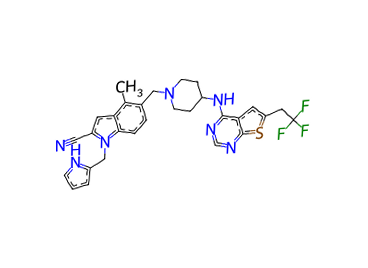 Cc1c(CN2CCC(Nc3ncnc4sc(CC(F)(F)F)cc34)CC2)ccc2c1cc(C#N)n2Cc1ccc[nH]1